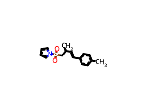 C=C(/C=C/c1ccc(C)cc1)CS(=O)(=O)n1cccc1